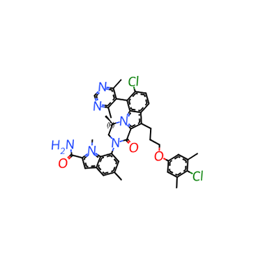 Cc1cc(N2C[C@@H](C)n3c(c(CCCOc4cc(C)c(Cl)c(C)c4)c4ccc(Cl)c(-c5c(C)ncnc5C)c43)C2=O)c2c(c1)cc(C(N)=O)n2C